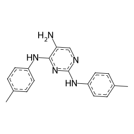 Cc1ccc(Nc2ncc(N)c(Nc3ccc(C)cc3)n2)cc1